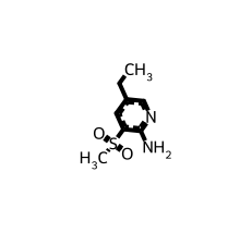 CCc1cnc(N)c(S(C)(=O)=O)c1